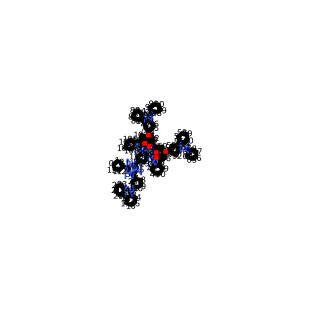 c1ccc(-c2nc(-c3cccc(-n4c5ccccc5c5ccccc54)c3)nc(-c3cc(-n4c5ccccc5c5ccccc54)c(-n4c5ccc(-c6ccc7c(c6)c6ccccc6n7-c6ccccc6)cc5c5cc(-c6ccc7c(c6)c6ccccc6n7-c6ccccc6)ccc54)c(-n4c5ccccc5c5ccccc54)c3)n2)cc1